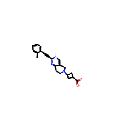 Cc1ccccc1C#CC1N=C2CCN(C3CC(C(=O)O)C3)CC2=CN1